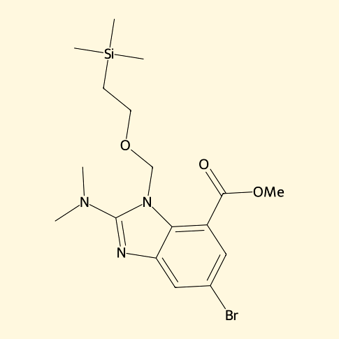 COC(=O)c1cc(Br)cc2nc(N(C)C)n(COCC[Si](C)(C)C)c12